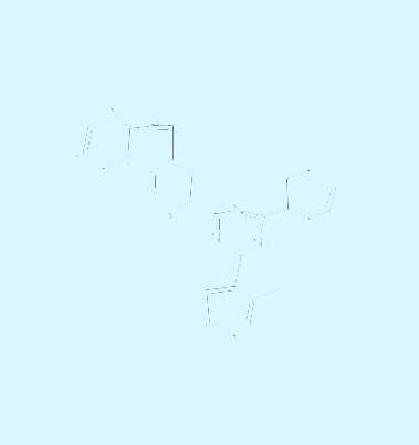 Cc1ccccc1-c1nc(-c2ccccc2)nc(-c2ccc3c(ccc4ccccc43)c2)n1